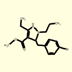 CCCN1NC(CC)=C(C(=O)OC)C1Cc1ccc(Br)cc1